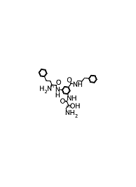 NC[C@H](O)C(=O)Nc1cc(NC(=O)[C@H](N)CCc2ccccc2)cc(C(=O)NCCCc2ccccc2)c1